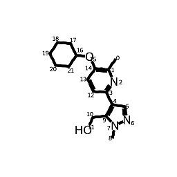 Cc1nc(-c2cnn(C)c2CO)ccc1OC1CCCCC1